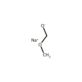 COC[O-].[Na+]